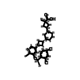 Cc1ncc(N2CC([C@H]3CCCN(C4CC(C)(C(=O)O)C4)C3)C2)cc1O[C@H](C)c1ccc(Cl)cc1Cl